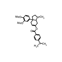 COc1ccc(C23CC=C(OC(=O)c4ccc(N(C)C)cc4)CC2N(C)CC3)cc1OC